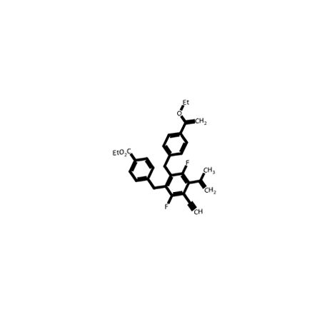 C#Cc1c(F)c(Cc2ccc(C(=O)OCC)cc2)c(Cc2ccc(C(=C)OCC)cc2)c(F)c1C(=C)C